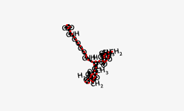 C=C1C[C@H]2[C@H](C)N(B(C)O)c3cc(OCc4cc(C#CCNC(=O)CCOCCOCCOCCOCCNC(=O)CCN5C(=O)C=CC5=O)cc(COc5cc6c(cc5C)C(=O)N5CC(=C)C[C@H]5[C@H](OC5CCCCO5)N6B(C)O)c4)c(OC)cc3C(=O)N2C1